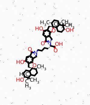 C[C@@H]1CCC2C(C)(C)[C@H](O)CC[C@]2(C)[C@@]12Cc1c(O)cc3c(c1O2)CN(CCCC[C@@H](C(=O)O)N1Cc2c(cc(O)c4c2O[C@]2(C4)[C@H](C)CCC4C(C)(C)[C@H](O)CC[C@@]42C)C1=O)C3=O